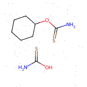 NC(=S)OC1CCCCC1.NC(O)=S